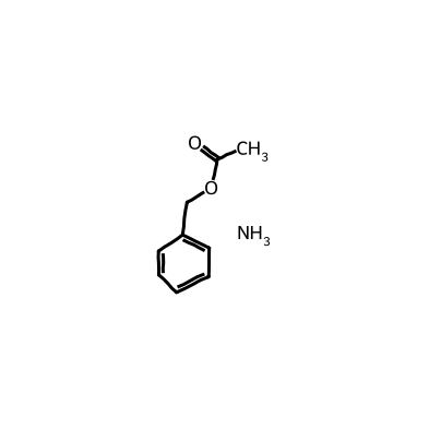 CC(=O)OCc1ccccc1.N